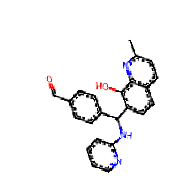 Cc1ccc2ccc(C(Nc3ccccn3)c3ccc(C=O)cc3)c(O)c2n1